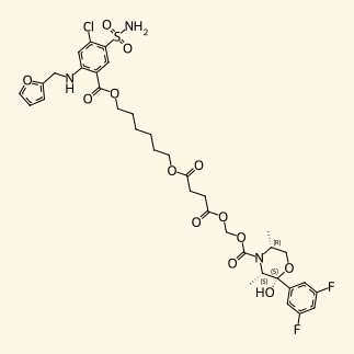 C[C@@H]1CO[C@@](O)(c2cc(F)cc(F)c2)[C@H](C)N1C(=O)OCOC(=O)CCC(=O)OCCCCCCOC(=O)c1cc(S(N)(=O)=O)c(Cl)cc1NCc1ccco1